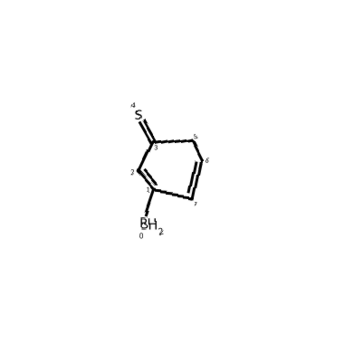 BC1=CC(=S)CC=C1